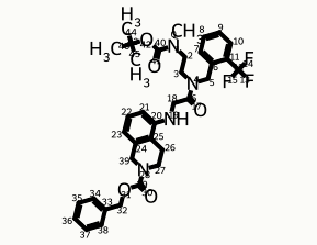 CN(CCN(Cc1ccccc1C(F)(F)F)C(=O)CNc1cccc2c1CCN(C(=O)OCc1ccccc1)C2)C(=O)OC(C)(C)C